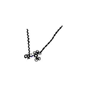 CC#CC#CC#CC#CC#CC#CC#CC#CC#CC#COC(=O)c1cc([N+](=O)[O-])cc(/C=C/C2=[N+](CCCCCCCCCCCCCCCCCC)c3ccccc3C2(C)C)c1O